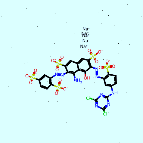 Nc1c(N=Nc2cc(S(=O)(=O)[O-])ccc2S(=O)(=O)[O-])c(S(=O)(=O)[O-])cc2cc(S(=O)(=O)[O-])c(N=Nc3cc(Nc4nc(Cl)nc(Cl)n4)ccc3S(=O)(=O)[O-])c(O)c12.[Na+].[Na+].[Na+].[Na+].[Na+]